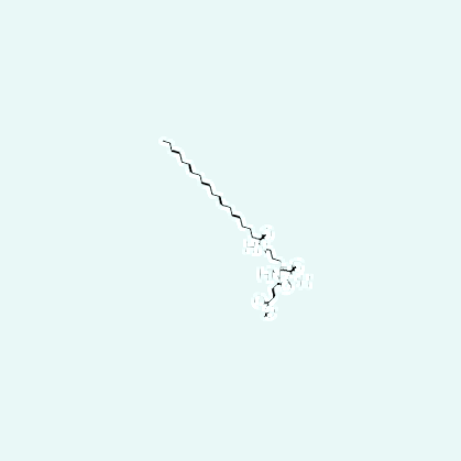 CCC=CCC=CCC=CCC=CCC=CCCCC(=O)NCCC[C@H](NC(=O)C=CC(=O)OC)C(=O)O